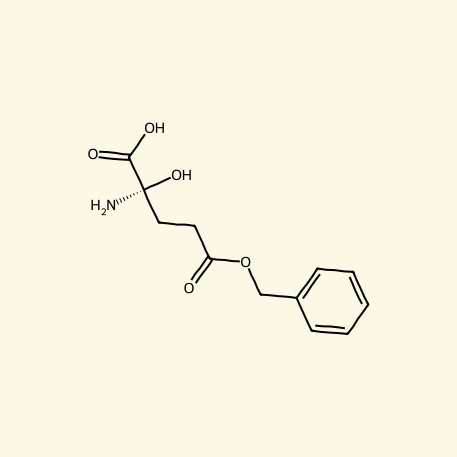 N[C@](O)(CCC(=O)OCc1ccccc1)C(=O)O